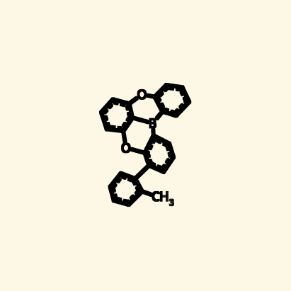 Cc1ccccc1-c1cccc2c1Oc1cccc3c1B2c1ccccc1O3